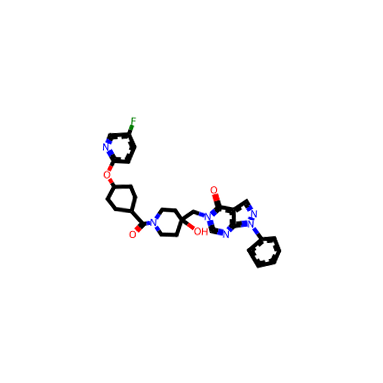 O=C(C1CCC(Oc2ccc(F)cn2)CC1)N1CCC(O)(Cn2cnc3c(cnn3-c3ccccc3)c2=O)CC1